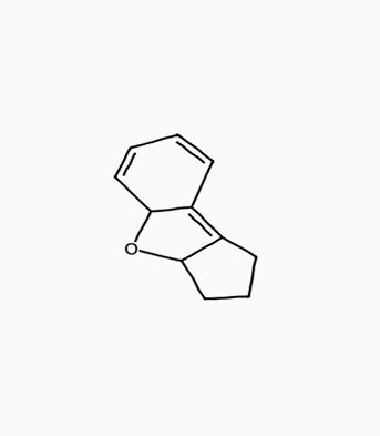 C1=CC2=C3CCCC3OC2C=C1